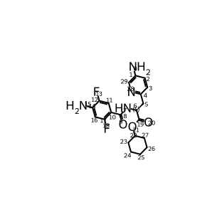 Nc1ccc(C[C@H](NC(=O)c2cc(F)c(N)cc2F)C(=O)OC2CCCCC2)nc1